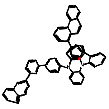 c1cc(-c2ccc(N(c3cccc(-c4cccc5c4ccc4ccccc45)c3)c3ccccc3-n3c4ccccc4c4ccccc43)cc2)cc(-c2ccc3ccccc3c2)c1